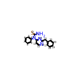 NC(=S)N(c1ccccc1)c1ccnc(Cc2ccccc2)n1